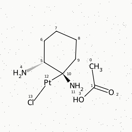 CC(=O)O.N[C@@H]1CCCC[C@]1(N)[Pt][Cl]